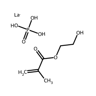 C=C(C)C(=O)OCCO.O=P(O)(O)O.[La]